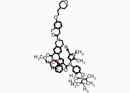 COC[C@@H]1Cc2ccccc2CN1C(=O)c1cc2c(cc1-c1cc(C(=O)N(c3ccc(O[Si](C(C)C)(C(C)C)C(C)C)cc3)c3cc(C#N)n(C)c3C)c(C)n1C)CCN(C(=O)Cc1ccc(OCCC3CCOCC3)cc1F)C2